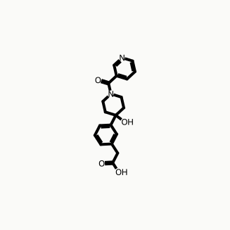 O=C(O)Cc1cccc(C2(O)CCN(C(=O)c3cccnc3)CC2)c1